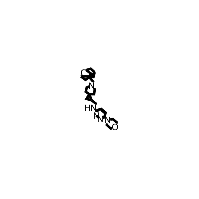 c1cc(N2CCOCC2)nnc1NCC1CC12CCN(CC13CC4CC(CC(C4)C1)C3)CC2